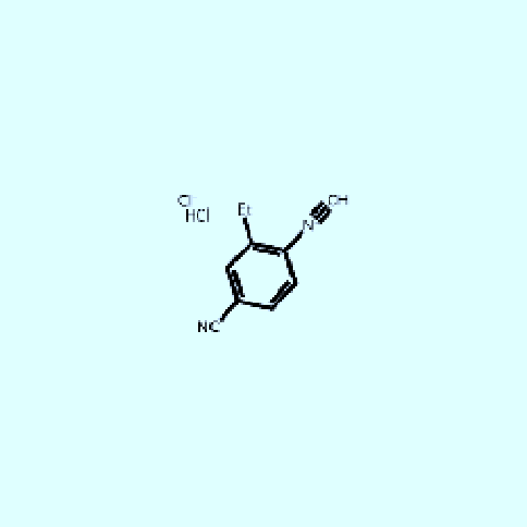 C#[N+]c1ccc(C#N)cc1CC.Cl.[Cl-]